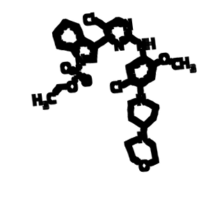 CCOS(=O)(=O)n1cc(-c2nc(Nc3cc(Cl)c(N4CCC(N5CCOCC5)CC4)cc3OC)ncc2Cl)c2ccccc21